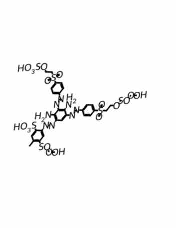 Cc1cc(S(=O)(=O)O)c(/N=N/c2cc(/N=N/c3ccc(S(=O)(=O)CCOSOOO)cc3)c(N)c(/N=N/c3ccc(S(=O)(=O)CCOS(=O)(=O)O)cc3)c2N)cc1SOOO